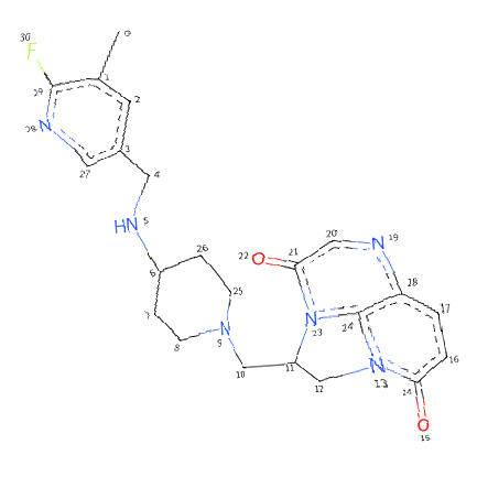 Cc1cc(CNC2CCN(CC3Cn4c(=O)ccc5ncc(=O)n3c54)CC2)cnc1F